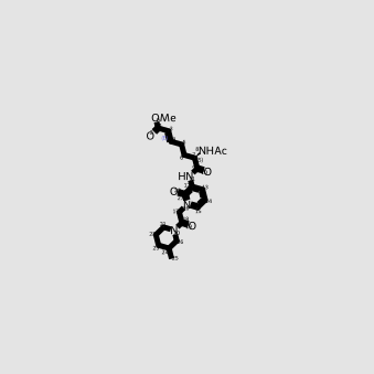 COC(=O)/C=C/CC[C@H](NC(C)=O)C(=O)Nc1cccn(CC(=O)N2CCCC(C)C2)c1=O